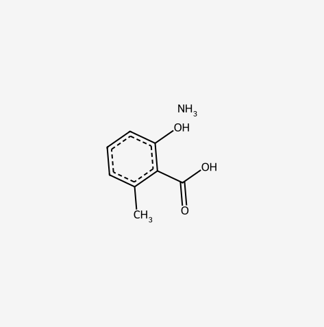 Cc1cccc(O)c1C(=O)O.N